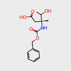 CC(O)[C@@](C)(CC(=O)O)NC(=O)OCc1ccccc1